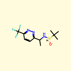 CC(N[S@@+]([O-])C(C)(C)C)c1ccc(C(F)(F)F)nn1